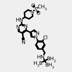 BC(B)(B)NCc1ccc(-n2cc(-c3nc(NC4CCN(S(C)(=O)=O)CC4)ncc3C#N)cn2)c(Cl)c1